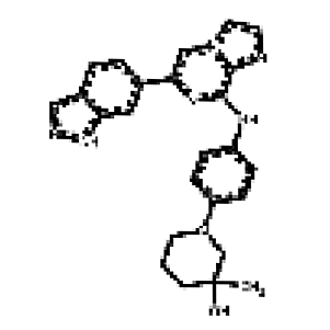 CC1(O)CCCN(c2ccc(Nc3nc(-c4ccc5cn[nH]c5c4)cn4ccnc34)cc2)C1